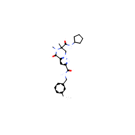 COc1cccc(CNC(=O)c2cc3n(n2)CC(C)(C(=O)NC2CCCC2)N(C)C3=O)c1